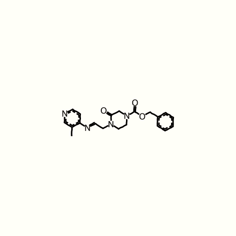 Cc1cnccc1N=CCN1CCN(C(=O)OCc2ccccc2)CC1=O